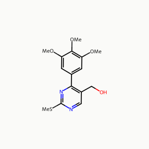 COc1cc(-c2nc(SC)ncc2CO)cc(OC)c1OC